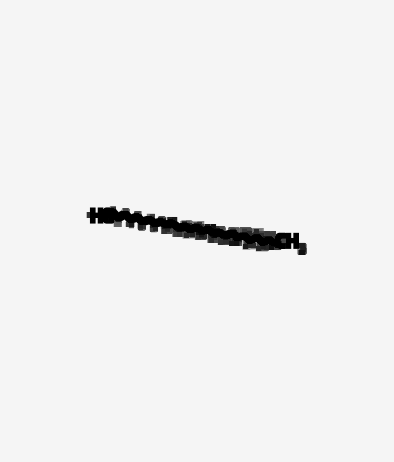 [CH]=CC=CC=CC=CC=CC=CC=CC=CC=CC=CC=CCCCCCCCC